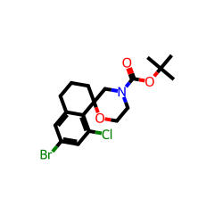 CC(C)(C)OC(=O)N1CCOC2(CCCc3cc(Br)cc(Cl)c32)C1